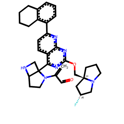 C=C(C=O)N1CCC2NCC21c1nc(OC[C@@]23CCCN2C[C@H](F)C3)nc2nc(-c3cccc4c3CCCC4)ccc12